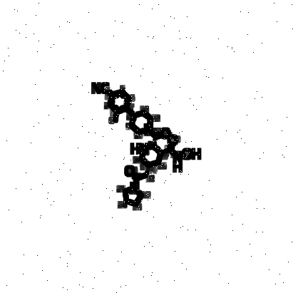 Cc1cc(C#N)ccc1C1CCN(C(=O)[C@H]2NC[C@@H](CC(=O)N3CCCC3)C[C@@H]2C(=O)NO)CC1